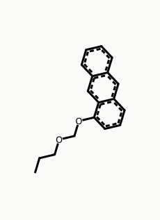 CCCOCOc1cccc2cc3ccccc3cc12